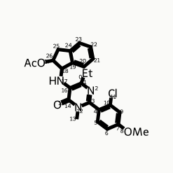 CCc1nc(-c2ccc(OC)cc2Cl)n(C)c(=O)c1NC1c2ccccc2CC1OC(C)=O